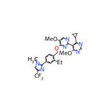 CCc1cc(-c2nc(C(F)(F)F)cn2C)ccc1COc1nc(-c2c(OC)ncnc2C2CC2)ncc1OC